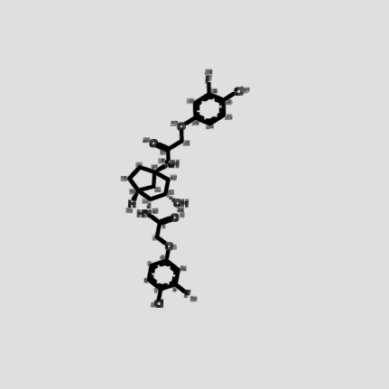 O=C(COc1ccc(Cl)c(F)c1)N[C@@H]1[C@@H]2CC[C@@](NC(=O)COc3ccc(Cl)c(F)c3)(C2)C[C@@H]1O